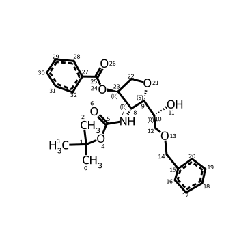 CC(C)(C)OC(=O)N[C@H]1[C@@H]([C@H](O)COCc2ccccc2)OC[C@@H]1OC(=O)c1ccccc1